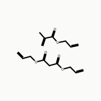 C=CCOC(=O)C(=C)C.C=CCOC(=O)CC(=O)OCC=C